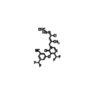 C/C(=C\C(Cl)=N/NC=O)Cn1cnc(C(F)F)c(Oc2cc(C#N)cc(C(F)F)c2)c1=O